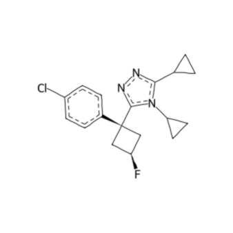 F[C@H]1C[C@](c2ccc(Cl)cc2)(c2nnc(C3CC3)n2C2CC2)C1